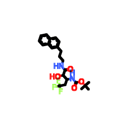 CC(C)(C)OC(=O)NC(CC(F)(F)F)C(O)C(=O)NCCCc1ccc2ccccc2c1